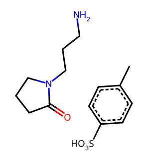 Cc1ccc(S(=O)(=O)O)cc1.NCCCN1CCCC1=O